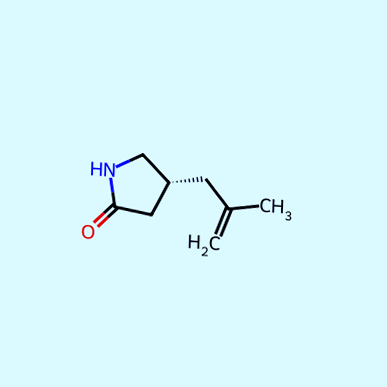 C=C(C)C[C@H]1CNC(=O)C1